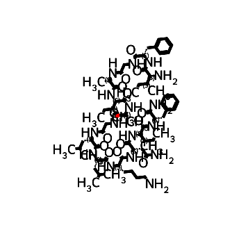 CC[C@H](C)[C@H](N)C(=O)N[C@@H](Cc1ccccc1)C(=O)NCC(=O)N[C@@H](C)C(=O)N[C@H](C(=O)N[C@@H](C)C(=O)NCC(=O)N[C@@H](CC(C)C)C(=O)N[C@@H](CC(C)C)C(=O)N[C@@H](CCCCN)C(=O)N[C@@H](CC(N)=O)C(=O)N[C@H](C(=O)N[C@@H](Cc1ccccc1)C(N)=O)[C@@H](C)CC)[C@@H](C)CC